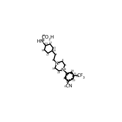 N#Cc1cc(N2CCN(CCC3CCC(NC(=O)O)CC3)CC2)cc(C(F)(F)F)c1